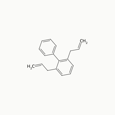 C=CCc1cccc(CC=C)c1-c1ccccc1